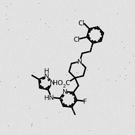 Cc1cc(Nc2cc(C)c(F)c(CC3(C(=O)O)CCN(CCc4cccc(Cl)c4Cl)CC3)n2)n[nH]1